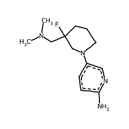 CN(C)CC1(F)CCCN(c2ccc(N)nc2)C1